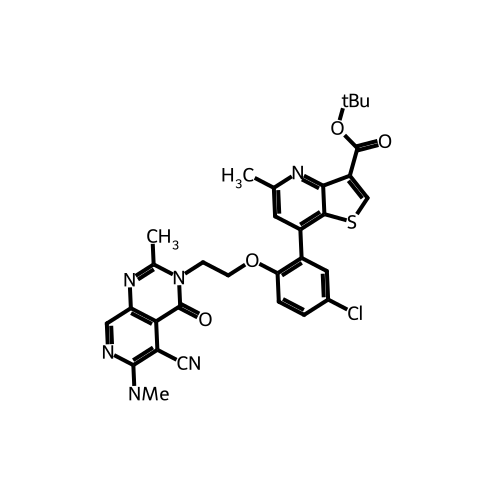 CNc1ncc2nc(C)n(CCOc3ccc(Cl)cc3-c3cc(C)nc4c(C(=O)OC(C)(C)C)csc34)c(=O)c2c1C#N